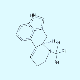 [2H]C([2H])([2H])N1CCC=C2c3cccc4[nH]cc(c34)C[C@H]21